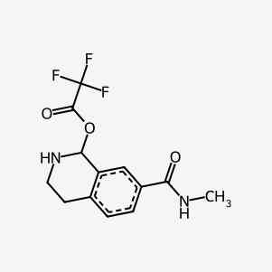 CNC(=O)c1ccc2c(c1)C(OC(=O)C(F)(F)F)NCC2